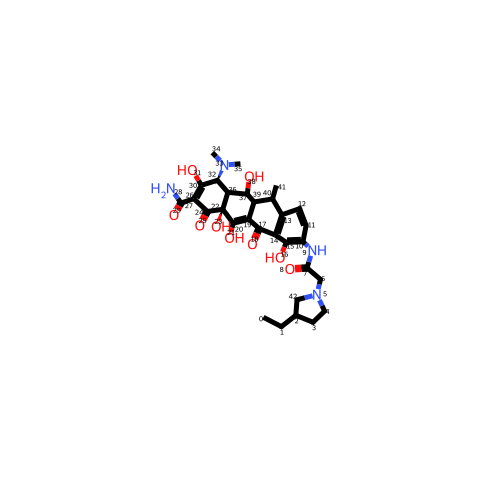 CCC1CCN(CC(=O)Nc2ccc3c(c2O)C(=O)C2=C(O)[C@]4(O)C(=O)C(C(N)=O)=C(O)[C@@H](N(C)C)C4C(O)C2C3C)C1